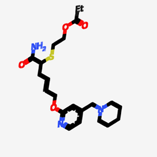 CCC(=O)OCCSC(CC=CCOc1cc(CN2CCCCC2)ccn1)C(N)=O